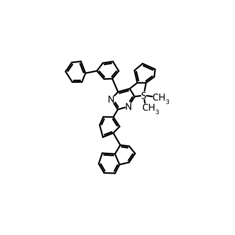 CS1(C)c2ccccc2-c2c(-c3cccc(-c4ccccc4)c3)nc(-c3cccc(-c4cccc5ccccc45)c3)nc21